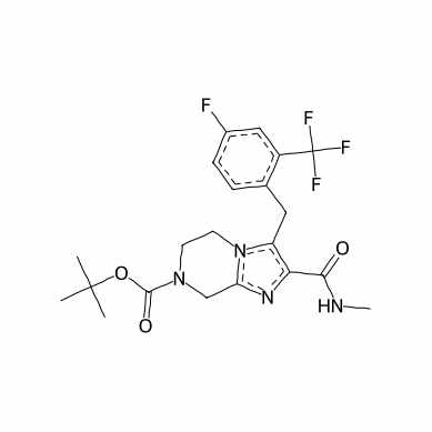 CNC(=O)c1nc2n(c1Cc1ccc(F)cc1C(F)(F)F)CCN(C(=O)OC(C)(C)C)C2